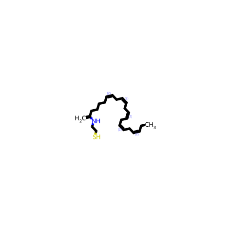 C=C(CCCC/C=C\C/C=C\C/C=C\C/C=C\C/C=C\CC)NCCS